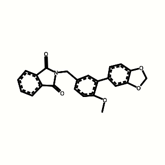 COc1ccc(CN2C(=O)c3ccccc3C2=O)cc1-c1ccc2c(c1)OCO2